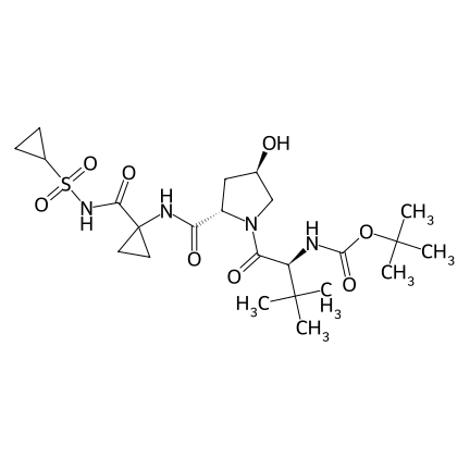 CC(C)(C)OC(=O)N[C@H](C(=O)N1C[C@H](O)C[C@H]1C(=O)NC1(C(=O)NS(=O)(=O)C2CC2)CC1)C(C)(C)C